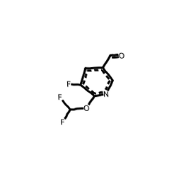 O=Cc1cnc(OC(F)F)c(F)c1